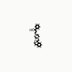 OC(CCN1CCN(CC2OCCc3ccccc32)CC1)c1ccccc1